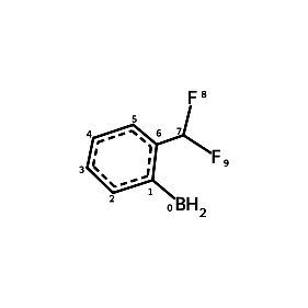 Bc1ccccc1C(F)F